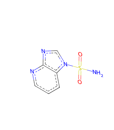 NS(=O)(=O)n1cnc2ncccc21